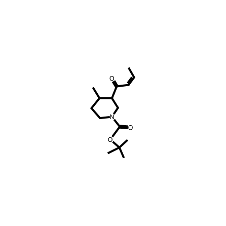 C/C=C\C(=O)C1CN(C(=O)OC(C)(C)C)CCC1C